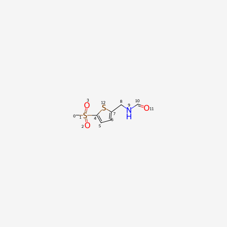 CS(=O)(=O)c1ccc(CNC=O)s1